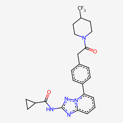 O=C(Nc1nc2cccc(-c3ccc(CC(=O)N4CCC(C(F)(F)F)CC4)cc3)n2n1)C1CC1